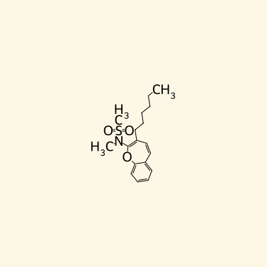 CCCCCCC1=C(N(C)S(C)(=O)=O)Oc2ccccc2C=C1